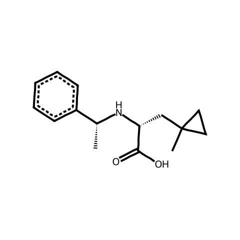 C[C@@H](N[C@H](CC1(C)CC1)C(=O)O)c1ccccc1